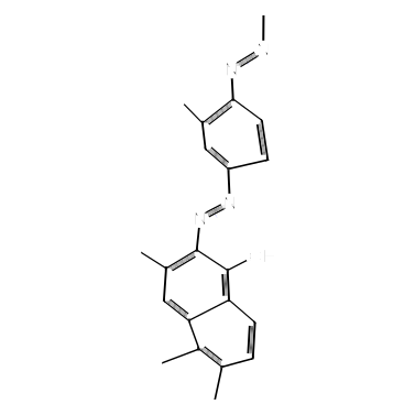 C/N=N/c1ccc(/N=N/c2c(C)cc3c(C)c(C)ccc3c2O)cc1C